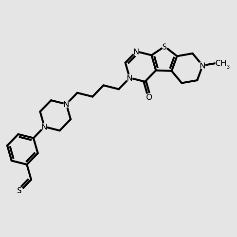 CN1CCc2c(sc3ncn(CCCCN4CCN(c5cccc(C=S)c5)CC4)c(=O)c23)C1